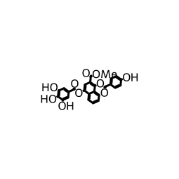 COC(=O)c1cc(OC(=O)c2cc(O)c(O)c(O)c2)c2ccccc2c1OC(=O)c1ccc(O)cc1